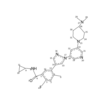 Cc1cc(F)c(C(=O)NC2CC2)cc1-c1cnn(-c2cncc(N3CCC(N(C)C)CC3)c2)c1